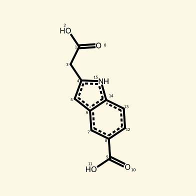 O=C(O)Cc1cc2cc(C(=O)O)ccc2[nH]1